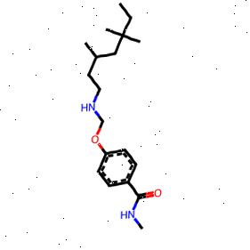 CCC(C)(C)CC(C)CCNCOc1ccc(C(=O)NC)cc1